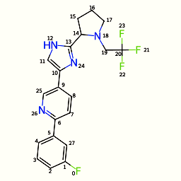 Fc1cccc(-c2ccc(-c3c[nH]c(C4CCCN4CC(F)(F)F)n3)cn2)c1